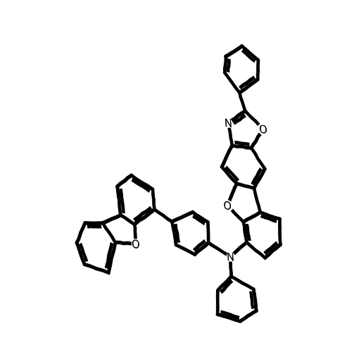 c1ccc(-c2nc3cc4oc5c(N(c6ccccc6)c6ccc(-c7cccc8c7oc7ccccc78)cc6)cccc5c4cc3o2)cc1